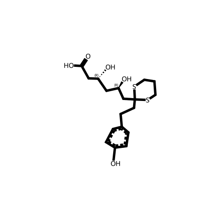 O=C(O)C[C@H](O)C[C@@H](O)CC1(CCc2ccc(O)cc2)SCCCS1